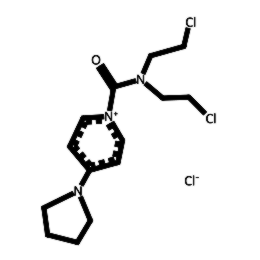 O=C(N(CCCl)CCCl)[n+]1ccc(N2CCCC2)cc1.[Cl-]